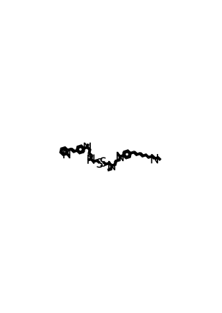 CC/N=C/CC/C=C/C=C/c1ccc(N(C)CCCN(CC)CCSSCCN(C)CCCN(C)c2ccc(/C=C/c3cccc[n+]3C)cc2)cc1